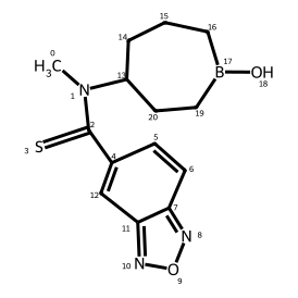 CN(C(=S)c1ccc2nonc2c1)C1CCCB(O)CC1